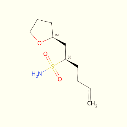 C=CCC[C@H](C[C@@H]1CCCO1)S(N)(=O)=O